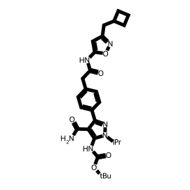 CC(C)n1nc(-c2ccc(CC(=O)Nc3cc(CC4CCC4)no3)cc2)c(C(N)=O)c1NC(=O)OC(C)(C)C